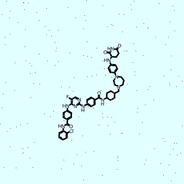 O=C1CCC(Nc2ccc(N3CCCN(CC4CCC(NC(=O)c5ccc(Nc6ncc(F)c(Nc7ccc(C(=O)Nc8ccccc8Cl)cc7)n6)cc5)CC4)CC3)cc2)C(=O)N1